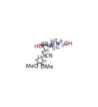 COc1ccc(/C(C#N)=C/c2ccc(N3CCN(CCO)CC3)s2)cc1OC.O=S(=O)(O)O